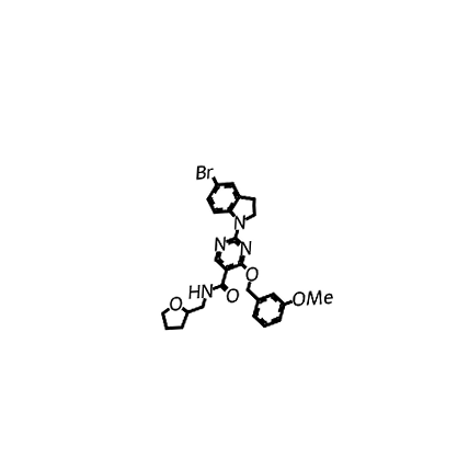 COc1cccc(COc2nc(N3CCc4cc(Br)ccc43)ncc2C(=O)NCC2CCCO2)c1